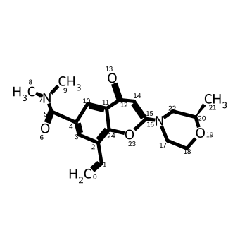 C=Cc1cc(C(=O)N(C)C)cc2c(=O)cc(N3CCO[C@H](C)C3)oc12